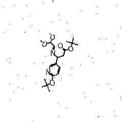 COC(C=NC(CC(=O)OC(C)(C)C)c1ccc(OC(C)(C)C)nc1)OC